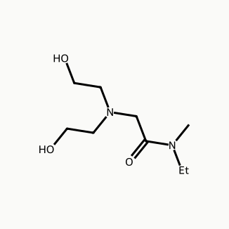 CCN(C)C(=O)CN(CCO)CCO